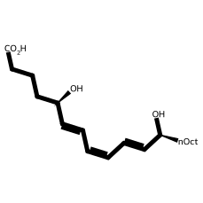 CCCCCCCC[C@H](O)/C=C/C=C\C=C\[C@H](O)CCCC(=O)O